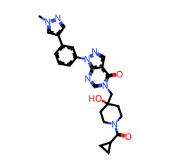 Cn1cc(-c2cccc(-n3ncc4c(=O)n(CC5(O)CCN(C(=O)C6CC6)CC5)cnc43)c2)cn1